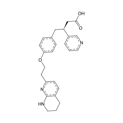 O=C(O)C[C@H](Cc1ccc(OCCc2ccc3c(n2)NCCC3)cc1)c1cccnc1